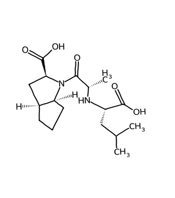 CC(C)C[C@H](N[C@@H](C)C(=O)N1[C@H](C(=O)O)C[C@@H]2CCC[C@@H]21)C(=O)O